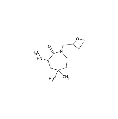 CNC1CC(C)(C)CCN(CC2CCO2)C1=O